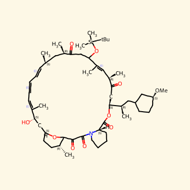 CO[C@H]1CCCC(C[C@@H](C)[C@@H]2CC(=O)[C@H](C)/C=C(\C)C(O[Si](C)(C)C(C)(C)C)CC(=O)[C@H](C)C[C@H](C)/C=C/C=C/C=C(\C)[C@@H](O)C[C@@H]3CC[C@@H](C)C(O3)C(=O)C(=O)N3CCCC[C@H]3C(=O)O2)C1